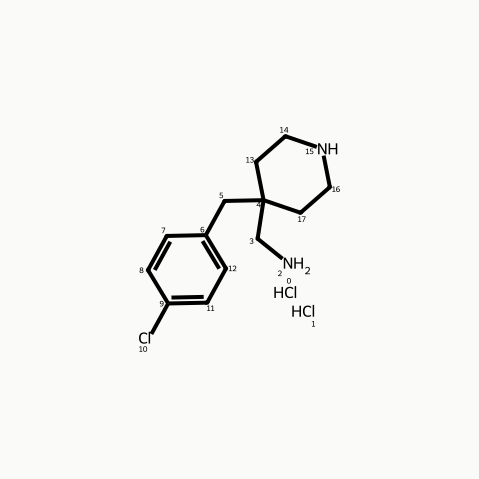 Cl.Cl.NCC1(Cc2ccc(Cl)cc2)CCNCC1